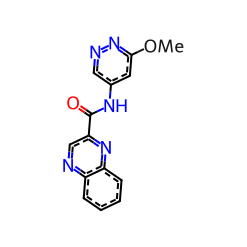 COc1cc(NC(=O)c2cnc3ccccc3n2)cnn1